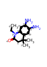 CCN1C(=O)CC(C)(C)c2cc(N)c(N)cc21